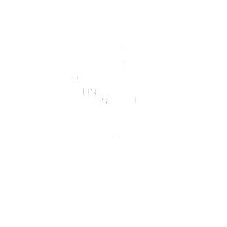 CCCCO[C@H]1C[C@@H]2c3ccccc3S(=O)(=O)COC(=O)NN2C1